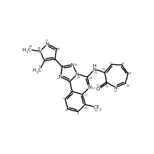 Cc1c(-c2nc3c4cccc(C(F)(F)F)c4nc(Nc4ccccnc4=O)n3n2)cnn1C